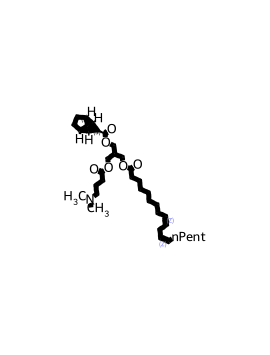 CCCCC/C=C\C/C=C\CCCCCCCC(=O)OCC(COC(=O)CCCN(C)C)COC(=O)[C@H]1[C@H]2[C@@H]3CC[C@@H](C3)[C@@H]12